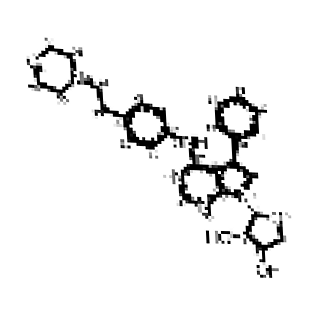 O[C@@H]1[C@H](O)CO[C@H]1n1cc(-c2ccccc2)c2c(Nc3ccc(CCN4CCOCC4)cc3)ncnc21